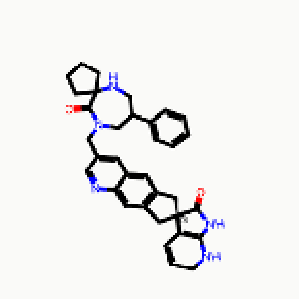 O=C1N(Cc2cnc3cc4c(cc3c2)C[C@@]2(C4)C(=O)NC3=C2C=CCN3)CC(c2ccccc2)CNC12CCCC2